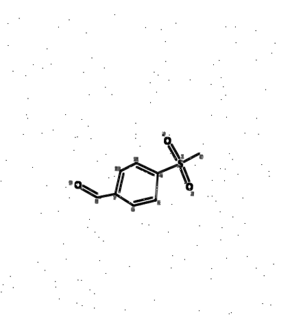 CS(=O)(=O)c1ccc([C]=O)cc1